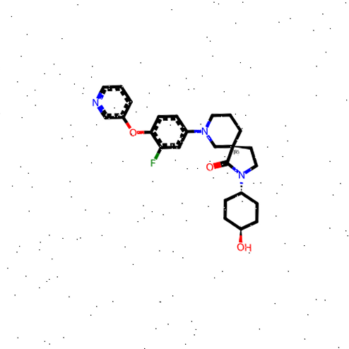 O=C1N([C@H]2CC[C@H](O)CC2)CC[C@@]12CCCN(c1ccc(Oc3cccnc3)c(F)c1)C2